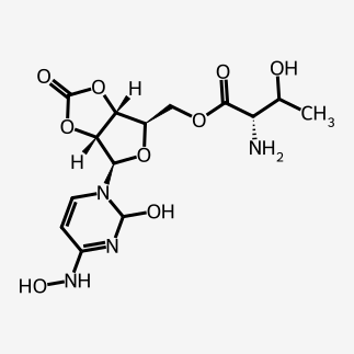 CC(O)[C@H](N)C(=O)OC[C@H]1O[C@@H](N2C=CC(NO)=NC2O)[C@@H]2OC(=O)O[C@@H]21